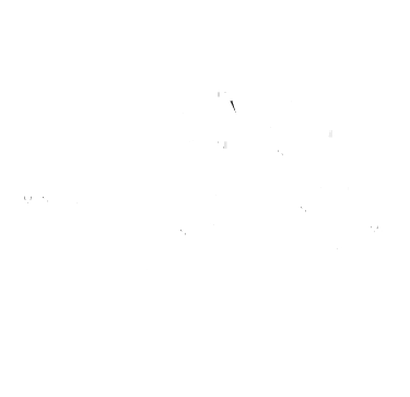 CNC(=O)CCCCC(=O)N[C@H](C(=O)NC(C(=O)N1CC(OC(=O)N2CCc3ccccc3C2)C[C@H]1C(=O)OC)C(C)C)C(C)C